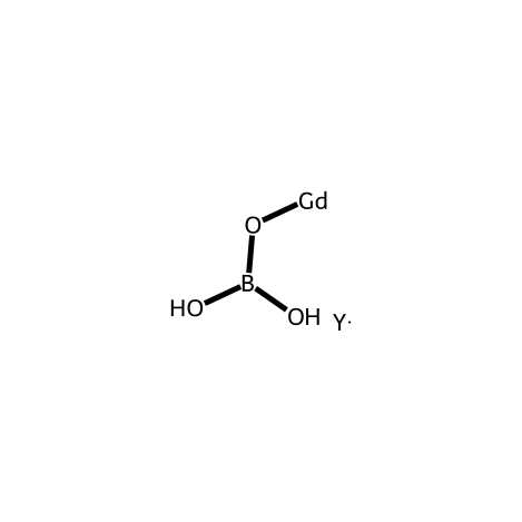 OB(O)[O][Gd].[Y]